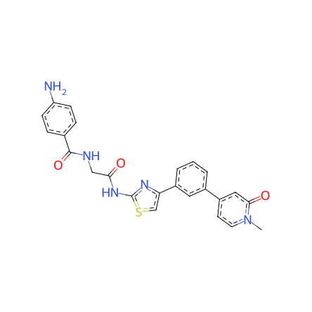 Cn1ccc(-c2cccc(-c3csc(NC(=O)CNC(=O)c4ccc(N)cc4)n3)c2)cc1=O